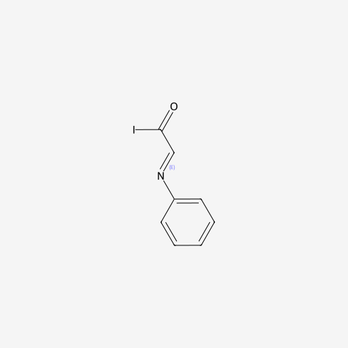 O=C(I)/C=N/c1ccccc1